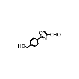 O=Cc1coc(-c2ccc(CO)cc2)n1